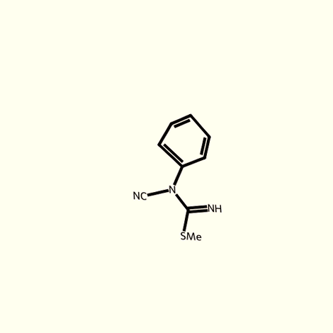 CSC(=N)N(C#N)c1ccccc1